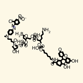 BC1CC(OP(=O)(O)OC[C@@H]2C[C@H](O)CN2C(=O)CCCN(C)c2ccc(/N=N/c3ccc([N+](=O)[O-])cc3Cl)cc2)C(COP(=O)(O)OCC(CCCCN)COP(=O)(O)OCCCCCCNC(=O)c2ccc(C(=O)O)c(C3c4ccc(O)cc4OC4=CC(=O)C=CC43)c2)O1